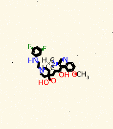 COc1ccc2ncc(N(C)C)c([C@H](O)CCC3(C(=O)O)CCN(CCNc4cc(F)cc(F)c4)CC3)c2c1